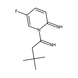 CC(C)(C)CC(=N)n1cc(F)ccc1=N